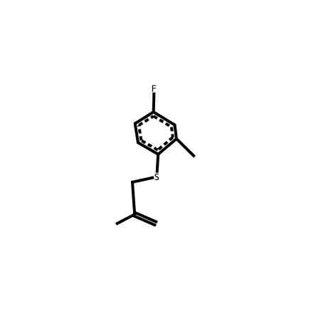 C=C(C)CSc1ccc(F)cc1C